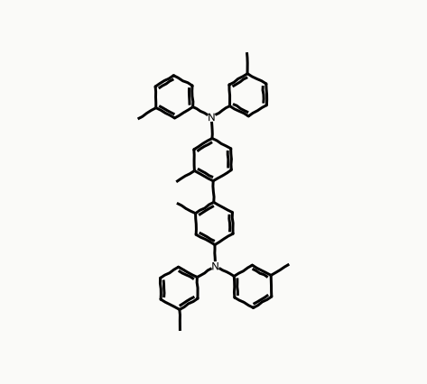 Cc1cccc(N(c2cccc(C)c2)c2ccc(-c3ccc(N(c4cccc(C)c4)c4cccc(C)c4)cc3C)c(C)c2)c1